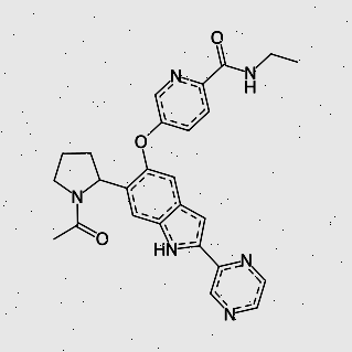 CCNC(=O)c1ccc(Oc2cc3cc(-c4cnccn4)[nH]c3cc2C2CCCN2C(C)=O)cn1